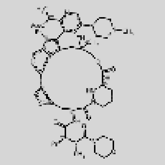 CCn1c(-c2cc(N3CCN(C)CC3)cnc2[C@H](C)OC)c2c3cc(ccc31)-c1csc(n1)C[C@H](NC(=O)[C@H](C(C)C)N(C)C(=O)N1CCOCC1)C(=O)N1CCC[C@@](O)(N1)C(=O)OCC(C)(C)C2